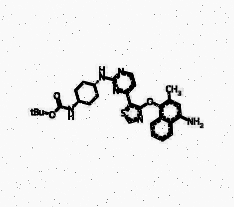 Cc1cc(N)c2ccccc2c1Oc1ncsc1-c1ccnc(N[C@H]2CC[C@H](NC(=O)OC(C)(C)C)CC2)n1